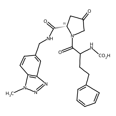 Cn1nnc2cc(CNC(=O)[C@@H]3CC(=O)CN3C(=O)C(CCc3ccccc3)NC(=O)O)ccc21